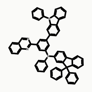 c1ccc(N(c2cc(-c3ccc4c5ccccc5n(-c5ccccc5)c4c3)cc(-c3ncc4ccccc4n3)c2)c2ccc3c(c2)C(c2ccccc2)(c2ccccc2)c2ccccc2-3)cc1